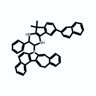 CC1(C)C2=C(NC(n3c4c(c5c6ccccc6ccc53)=CCc3ccccc3C=4)C(c3ccccc3)N2)c2cc(-c3ccc4ccccc4c3)ccc21